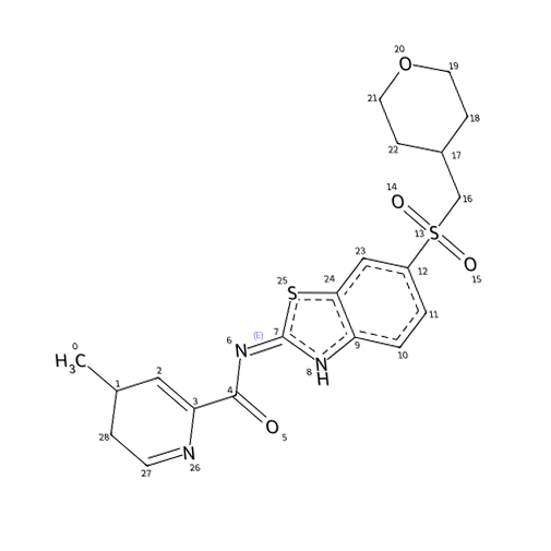 CC1C=C(C(=O)/N=c2\[nH]c3ccc(S(=O)(=O)CC4CCOCC4)cc3s2)N=CC1